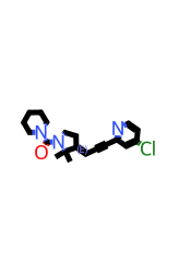 CC1(C)/C(=C/C#Cc2cc(Cl)ccn2)CCN1C(=O)N1CCCCC1